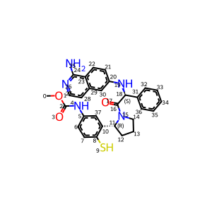 COC(=O)Nc1ccc(S)c([C@H]2CCCN2C(=O)[C@@H](Nc2ccc3c(N)nccc3c2)c2ccccc2)c1